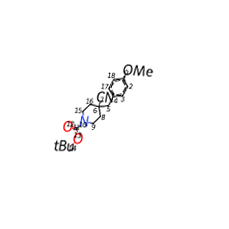 COc1ccc(CC2(C#N)CCN(C(=O)OC(C)(C)C)CC2)cc1